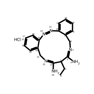 CCC1C(N)=NCc2ccccc2N=Nc2ccccc2CN=C1N.Cl